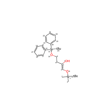 CC(C)(C)[Si](C)(C)OC=C(O)CCO[Si](c1ccccc1)(c1ccccc1)C(C)(C)C